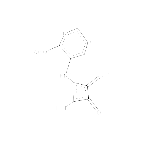 COc1ncccc1Nc1c(N)c(=O)c1=O